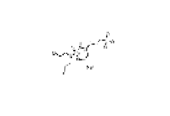 O=[P@]1(N(CCCl)CCCl)N[C@@H](SCCS(=O)(=O)[O-])CCO1.[Na+]